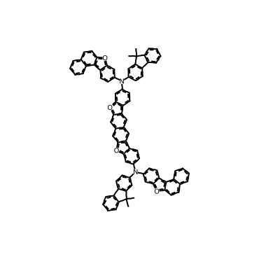 CC1(C)c2ccccc2-c2ccc(N(c3ccc4c(c3)oc3cc5cc6oc7cc(N(c8ccc9c(c8)C(C)(C)c8ccccc8-9)c8ccc9c(c8)oc8ccc%10ccccc%10c89)ccc7c6cc5cc34)c3ccc4c(c3)oc3ccc5ccccc5c34)cc21